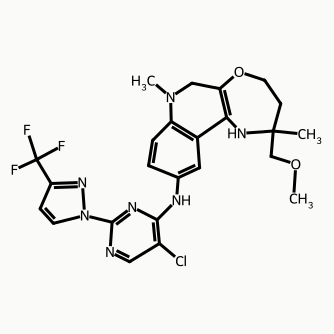 COCC1(C)CCOC2=C(N1)c1cc(Nc3nc(-n4ccc(C(F)(F)F)n4)ncc3Cl)ccc1N(C)C2